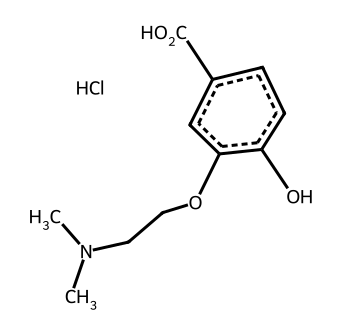 CN(C)CCOc1cc(C(=O)O)ccc1O.Cl